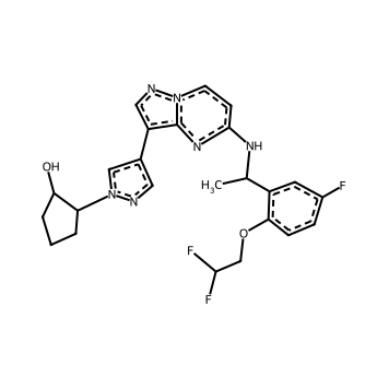 CC(Nc1ccn2ncc(-c3cnn(C4CCCC4O)c3)c2n1)c1cc(F)ccc1OCC(F)F